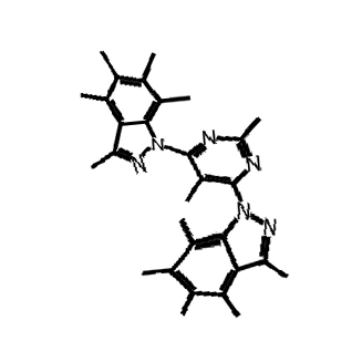 Cc1nc(-n2nc(C)c3c(C)c(C)c(C)c(C)c32)c(C)c(-n2nc(C)c3c(C)c(C)c(C)c(C)c32)n1